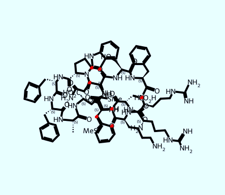 CSCC[C@H](NC(=O)[C@H](C)NC(=O)[C@H](Cc1ccccc1)NC(=O)[C@H](Cc1ccccc1)NC(=O)[C@@H]1CCCN1C(=O)[C@H](Cc1c[nH]c2ccccc12)NC(=O)[C@H](CCSC)NC(=O)[C@H](CCCCN)NC(=O)[C@H](CCCNC(=N)N)NC(=O)[C@H](Cc1ccccc1)NC(=O)[C@H](CO)NC(=O)[C@H](CCC(N)=O)NC(=O)[C@H](Cc1ccccc1)NC(=O)[C@H](CC(=O)O)NC(=O)[C@@H](N)CCCNC(=N)N)C(=O)O